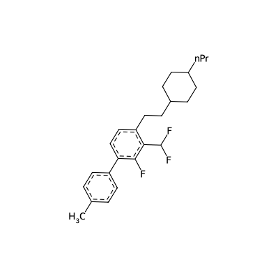 CCCC1CCC(CCc2ccc(-c3ccc(C)cc3)c(F)c2C(F)F)CC1